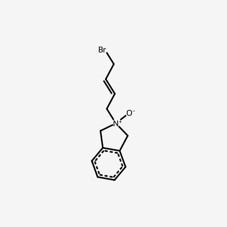 [O-][N+]1(CC=CCBr)Cc2ccccc2C1